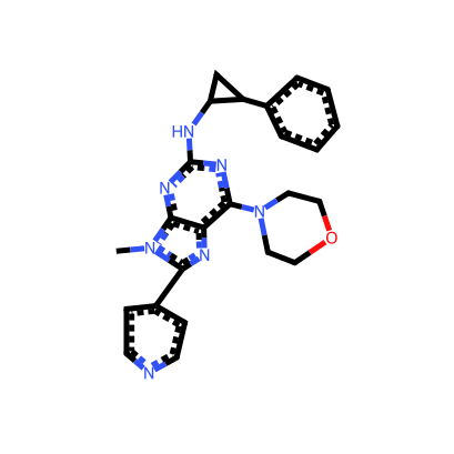 Cn1c(-c2ccncc2)nc2c(N3CCOCC3)nc(NC3CC3c3ccccc3)nc21